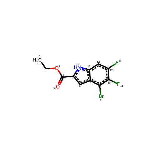 CCOC(=O)c1cc2c(Br)c(F)c(F)cc2[nH]1